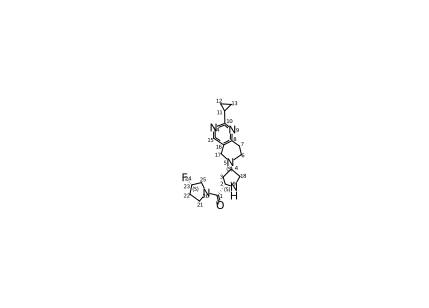 O=C([C@@H]1C[C@H](N2CCc3nc(C4CC4)ncc3C2)CN1)N1CC[C@H](F)C1